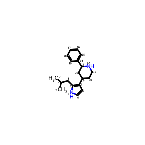 CC(C)Cc1[nH]ccc1C1CCNC(c2ccccc2)C1